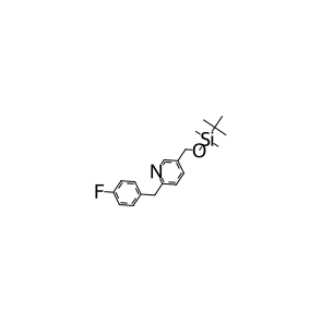 CC(C)(C)[Si](C)(C)OCc1ccc(Cc2ccc(F)cc2)nc1